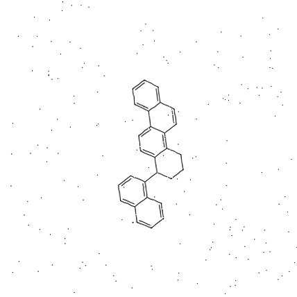 [c]1cccc2c(C3CCCc4c3ccc3c4ccc4ccccc43)cccc12